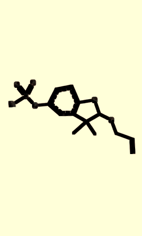 C=CCOC1Oc2ccc(OS(=O)(=O)CC)cc2C1(C)C